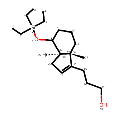 CC[Si](CC)(CC)OC1CCC[C@]2(C)C(CCCO)=CC[C@@H]12